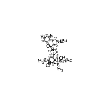 CC(=O)NC(C)(C)[C@]1(C)CC2(CCN(C(=O)[C@@H]3CN(C(C)(C)C)C[C@H]3c3ccc(F)cc3F)CC2)c2cc(C)c(Cl)cc21